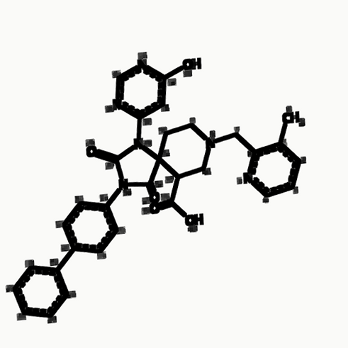 Cc1cccnc1CN1CCC2(C(=O)N(c3ccc(-c4ccccc4)cc3)C(=O)N2c2cc(O)ncn2)C(C(=O)O)C1